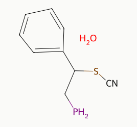 N#CSC(CP)c1ccccc1.O